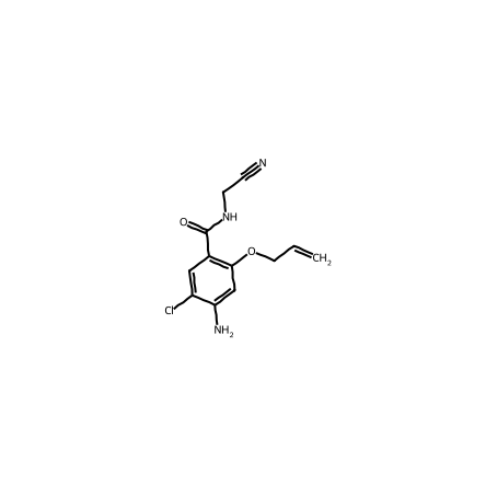 C=CCOc1cc(N)c(Cl)cc1C(=O)NCC#N